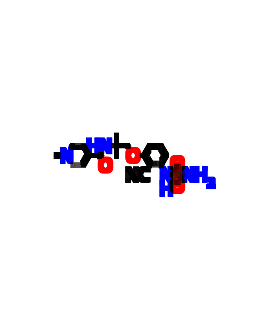 C=N/C=C\C(=C/C)C(=O)NC(C)(C)COc1cccc(NS(N)(=O)=O)c1C#N